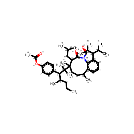 CCCC(C)C(c1ccc(OC(C)=O)cc1)C(C)(C)C1(C)CCC(C)c2cccc(C(C(C)C)C(C)C)c2N(C=O)C(=O)C1CC(C)C